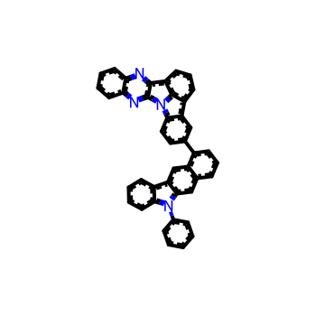 c1ccc(-n2c3ccccc3c3cc4c(-c5ccc6c(c5)c5cccc7c8nc9ccccc9nc8n6c57)cccc4cc32)cc1